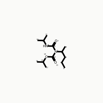 CCCC(C)N(C(=O)NC(C)C)C(=O)OC(C)C